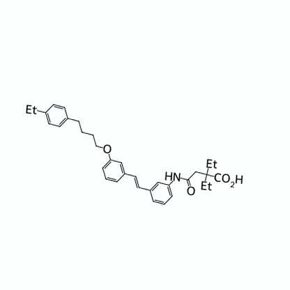 CCc1ccc(CCCCOc2cccc(/C=C/c3cccc(NC(=O)CC(CC)(CC)C(=O)O)c3)c2)cc1